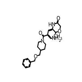 CC1OCC(=O)N/C1=C/C(=C\N)C(=O)N1CCC(COCc2ccccc2)CC1